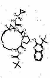 CC(C)(C)OC(=O)N[C@H]1CCCCC/C=C\[C@@H]2C[C@@]2(C(=O)NS(=O)(=O)C2CC2)NC(=O)[C@@H]2C[C@@H](Oc3nc4ccccc4nc3C(F)(F)F)CN2C1=O